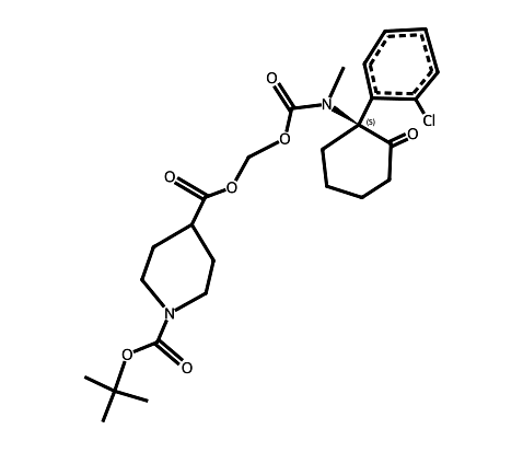 CN(C(=O)OCOC(=O)C1CCN(C(=O)OC(C)(C)C)CC1)[C@]1(c2ccccc2Cl)CCCCC1=O